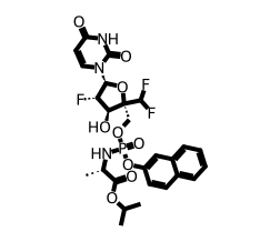 CC(C)OC(=O)[C@H](C)NP(=O)(OC[C@@]1(C(F)F)O[C@@H](n2ccc(=O)[nH]c2=O)[C@@H](F)[C@@H]1O)Oc1ccc2ccccc2c1